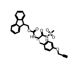 C#CCOc1ccc(C[C@H](NC(=O)OCC2c3ccccc3-c3ccccc32)C(=O)NS(C)(=O)=O)cc1